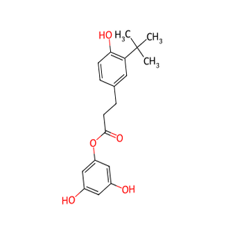 CC(C)(C)c1cc(CCC(=O)Oc2cc(O)cc(O)c2)ccc1O